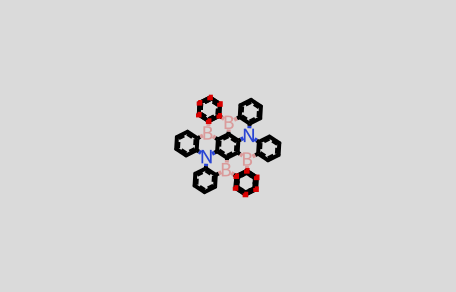 c1ccc(B2c3ccccc3N3c4ccccc4B(c4ccccc4)c4c5c6c(c2c43)B(c2ccccc2)c2ccccc2N6c2ccccc2B5c2ccccc2)cc1